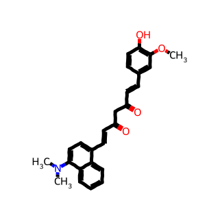 COc1cc(C=CC(=O)CC(=O)C=Cc2ccc(N(C)C)c3ccccc23)ccc1O